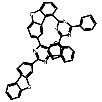 c1ccc(-c2nc(-c3ccccc3)nc(-c3cccc4oc5ccc(-c6nc(-c7ccc8c(c7)sc7ccccc78)nc7c6oc6ccccc67)cc5c34)n2)cc1